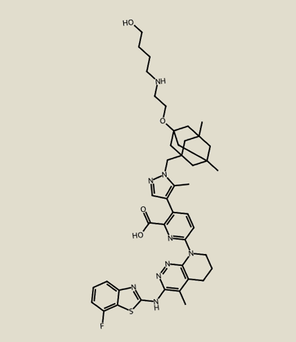 Cc1c(Nc2nc3cccc(F)c3s2)nnc2c1CCCN2c1ccc(-c2cnn(CC34CC5(C)CC(C)(C3)CC(OCCNCCCCO)(C5)C4)c2C)c(C(=O)O)n1